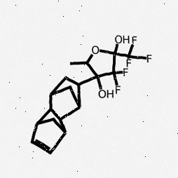 CC1OC(O)(C(F)(F)F)C(F)(F)C1(O)C1CC2CC1C1C3C=CC(C3)C21